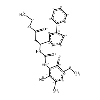 CCOC(=O)C[C@H](NC(=O)Nc1c(O)c(C)cn(CC)c1=O)c1cccc(-c2ccccc2)c1